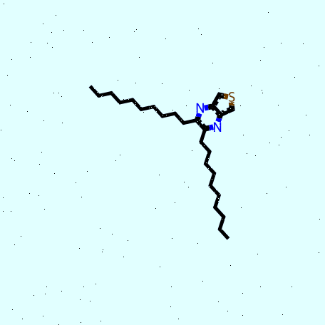 CCCCCCCCCCc1nc2cscc2nc1CCCCCCCCCC